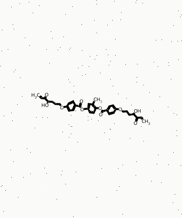 C=CC(=O)C(O)CCCOc1ccc(C(=O)Oc2ccc(OC(=O)c3ccc(OCCCC(O)C(=O)C=C)cc3)c(C)c2)cc1